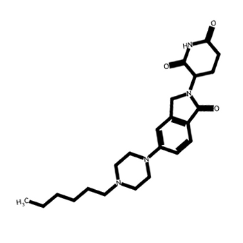 CCCCCCN1CCN(c2ccc3c(c2)CN(C2CCC(=O)NC2=O)C3=O)CC1